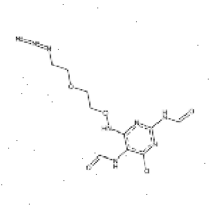 [N-]=[N+]=NCCOCCONc1nc(NC=O)nc(Cl)c1NC=O